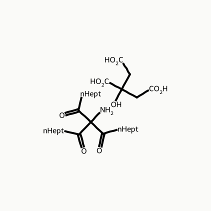 CCCCCCCC(=O)C(N)(C(=O)CCCCCCC)C(=O)CCCCCCC.O=C(O)CC(O)(CC(=O)O)C(=O)O